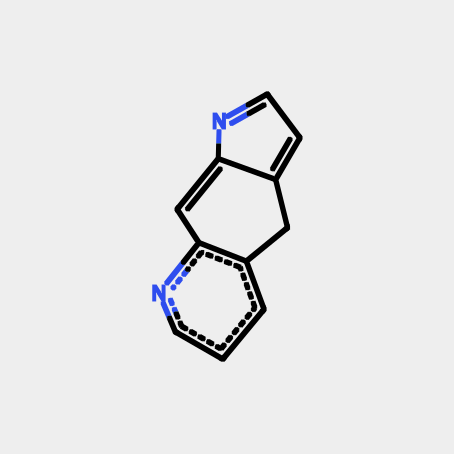 C1=NC2=Cc3ncccc3CC2=C1